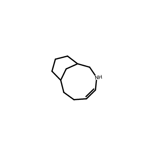 C1=C\NCC2CCCC(CC/1)C2